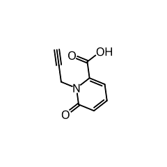 C#CCn1c(C(=O)O)cccc1=O